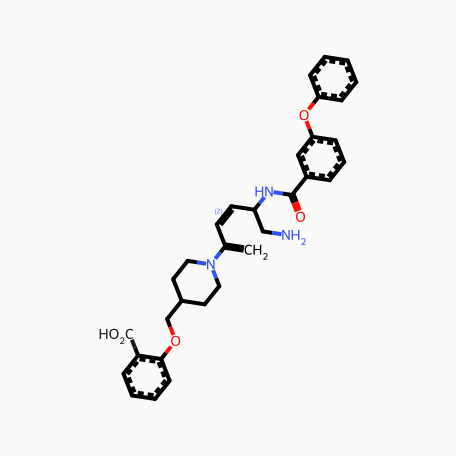 C=C(/C=C\C(CN)NC(=O)c1cccc(Oc2ccccc2)c1)N1CCC(COc2ccccc2C(=O)O)CC1